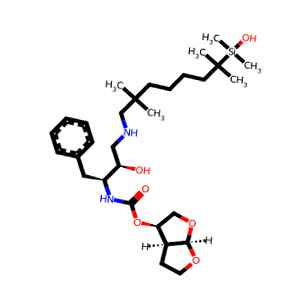 CC(C)(CCCCC(C)(C)[Si](C)(C)O)CNC[C@@H](O)[C@H](Cc1ccccc1)NC(=O)O[C@H]1CO[C@H]2OCC[C@H]21